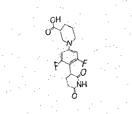 O=C1CCC(c2c(F)cc(N3CCCC(C(=O)O)C3)cc2F)C(=O)N1